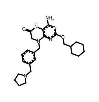 Nc1nc(OCC2CCCCC2)nc2c1NC(=O)CN2Cc1cccc(CN2CCCC2)c1